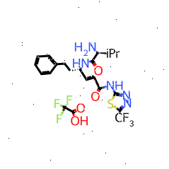 CC(C)[C@H](N)C(=O)N[C@H](/C=C/C(=O)Nc1nnc(C(F)(F)F)s1)CCc1ccccc1.O=C(O)C(F)(F)F